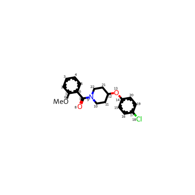 COc1ccccc1C(=O)N1CCC(Oc2ccc(Cl)cc2)CC1